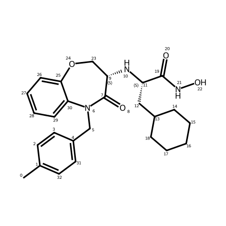 Cc1ccc(CN2C(=O)[C@@H](N[C@@H](CC3CCCCC3)C(=O)NO)COc3ccccc32)cc1